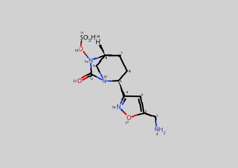 NCc1cc([C@@H]2CC[C@@H]3CN2C(=O)N3OS(=O)(=O)O)no1